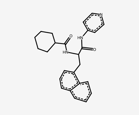 O=C(NC(Cc1cccc2ccccc12)C(=O)Nc1ccncc1)C1CCCCC1